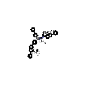 C=C/C(=C\C=C(/C)N(c1ccc(-c2ccccc2)cc1)c1ccc(-c2ccc3c(c2)C(C)(C)C(c2ccccc2)=C3)cc1)c1ccc2c(c1)C(C)(C)C(c1ccccc1)=C2